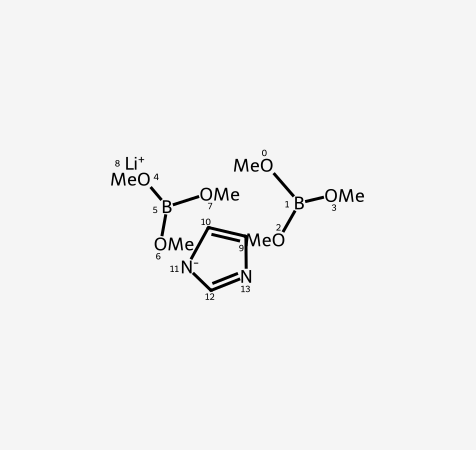 COB(OC)OC.COB(OC)OC.[Li+].c1c[n-]cn1